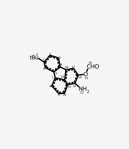 CC(C)(C)c1ccc2c(c1)-c1cccc3c(N)c(OC=O)cc-2c13